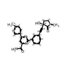 Cc1ccc(-c2cc(C(N)=O)nc(-c3cccc(C#C[C@]4(O)CCN(C)C4=O)c3)n2)cn1